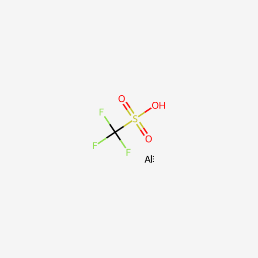 O=S(=O)(O)C(F)(F)F.[Al]